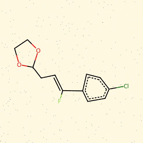 FC(=CC[C]1OCCO1)c1ccc(Cl)cc1